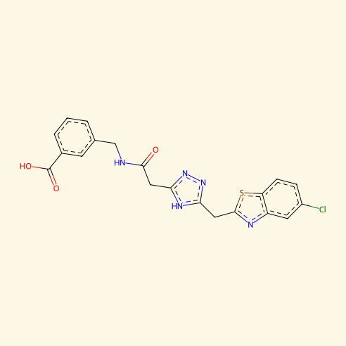 O=C(Cc1nnc(Cc2nc3cc(Cl)ccc3s2)[nH]1)NCc1cccc(C(=O)O)c1